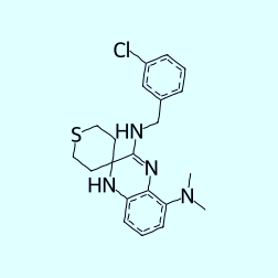 CN(C)c1cccc2c1N=C(NCc1cccc(Cl)c1)C1(CCSCC1)N2